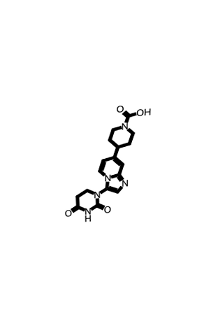 O=C1CCN(c2cnc3cc(C4CCN(C(=O)O)CC4)ccn23)C(=O)N1